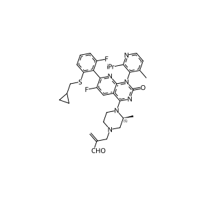 C=C(C=O)CN1CCN(c2nc(=O)n(-c3c(C)ccnc3C(C)C)c3nc(-c4c(F)cccc4SCC4CC4)c(F)cc23)[C@@H](C)C1